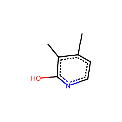 Cc1ccnc(O)c1C